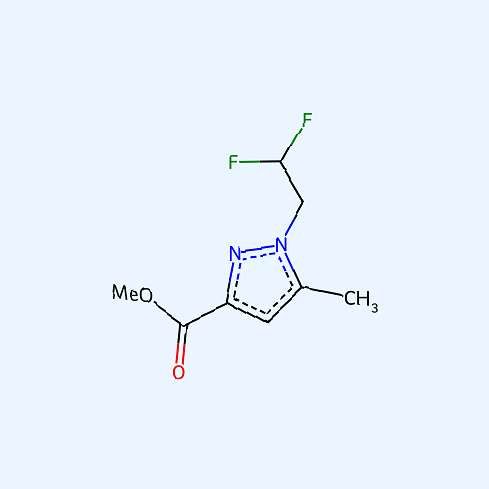 COC(=O)c1cc(C)n(CC(F)F)n1